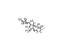 CCNC(=O)Nc1cccc(-n2c(C(C)N)nc3cccc(C(F)(F)F)c3c2=O)c1